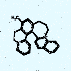 Cc1cc2c(c3c1CC[n+]1ccccc1-3)-c1ccc3ccccc3[n+]1CCC2